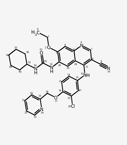 CCOc1cc2ncc(C#N)c(Nc3ccc(OCc4ccccn4)c(Cl)c3)c2cc1NC(=O)NC1CCCCC1